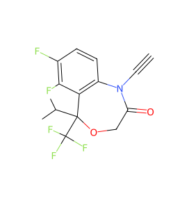 C#CN1C(=O)COC(C(C)C)(C(F)(F)F)c2c1ccc(F)c2F